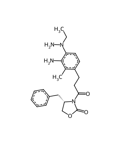 CCN(N)c1ccc(CCC(=O)N2C(=O)OC[C@@H]2Cc2ccccc2)c(C)c1N